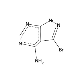 Nc1ncnc2c1C(Br)=N[N]2